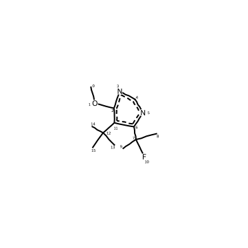 COc1ncnc(C(C)(C)F)c1C(C)(C)C